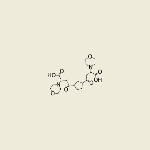 O=C(CC(C(=O)O)N1CCOCC1)C1CCC(C(=O)CC(C(=O)O)N2CCOCC2)C1